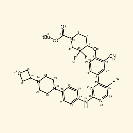 CC(C)(C)OC(=O)N1CCC(Oc2ccc(-c3nc(Nc4ccc(N5CCN(C6COC6)CC5)cc4)ncc3F)cc2C#N)C(F)(F)C1